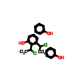 Oc1cccc(C(Cl)C(Cl)(Cl)Cl)c1C(Cl)C(Cl)(Cl)Cl.Oc1ccccc1.Oc1ccccc1